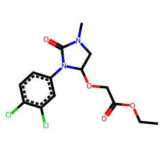 CCOC(=O)COC1CN(C)C(=O)N1c1ccc(Cl)c(Cl)c1